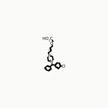 O=C(O)COC/C=C/CN1CCN([C@H](c2ccccc2)c2ccc(Cl)cc2)CC1